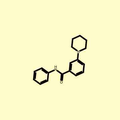 O=C(Nc1c[c]ccc1)c1cccc(N2CCCCC2)c1